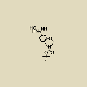 CC(C)(C)OC(=O)N1CCOc2cc(C(=N)NO)ccc2C1